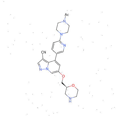 CC(=O)N1CCN(c2ccc(-c3cc(OC[C@@H]4CNCCO4)cn4ncc(C#N)c34)cn2)CC1